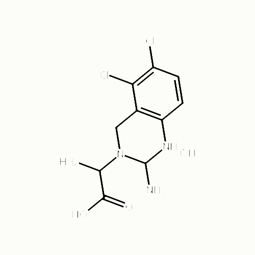 CC(C(=O)O)N1Cc2c(ccc(Cl)c2Cl)NC1N.Cl